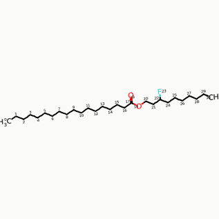 CCCCCCCCCCCCCCCCCC(=O)OCCC(F)CCCCCCC